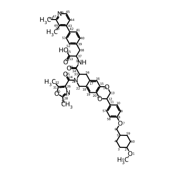 COC1CCC(COc2ccc(C3COc4cc5c(cc4O3)CN(C(=O)c3nc(C)oc3C)C(C(=O)NC(Cc3ccc(-c4ccnc(C)c4C)cc3)C(=O)O)C5)cc2)CC1